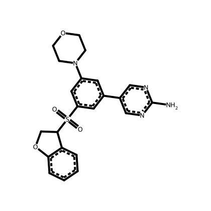 Nc1ncc(-c2cc(N3CCOCC3)cc(S(=O)(=O)C3COc4ccccc43)c2)cn1